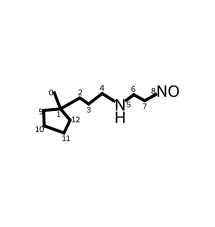 CC1(CCCNCCN=O)CCCC1